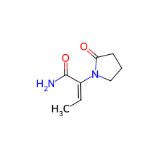 C/C=C(\C(N)=O)N1CCCC1=O